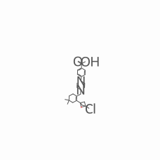 CC1(C)CCC(CN2CCN(c3ccc(C(=O)O)cc3)CC2)=C(C23CC(Cl)(C2)C3)C1